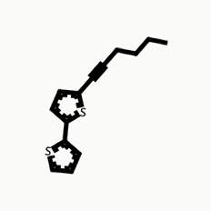 CCCCC#Cc1ccc(-c2cccs2)s1